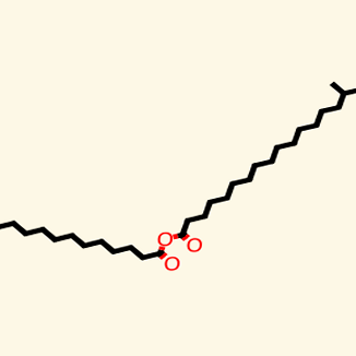 CCCCCCCCCCCC(=O)OC(=O)CCCCCCCCCCCCCCC(C)C